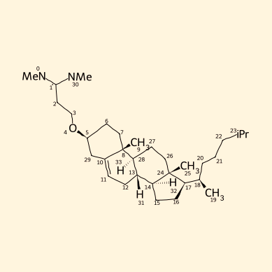 CN[C](CCO[C@H]1CC[C@@]2(C)C(=CC[C@H]3[C@@H]4CC[C@H]([C@H](C)CCCC(C)C)[C@@]4(C)CC[C@@H]32)C1)NC